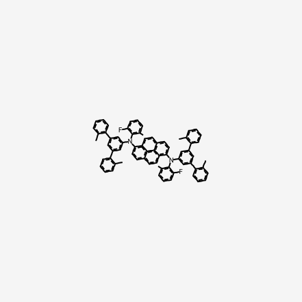 Cc1ccccc1-c1cc(-c2ccccc2C)cc(N(c2c(C)cccc2F)c2ccc3ccc4c(N(c5cc(-c6ccccc6C)cc(-c6ccccc6C)c5)c5c(C)cccc5F)ccc5ccc2c3c54)c1